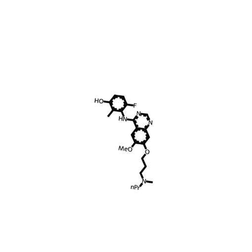 CCCN(C)CCCOc1cc2ncnc(Nc3c(F)ccc(O)c3C)c2cc1OC